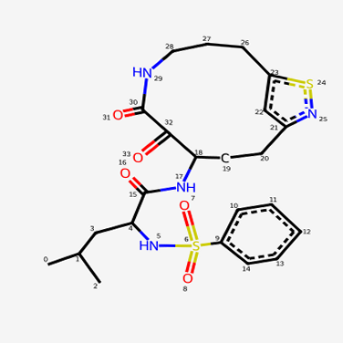 CC(C)CC(NS(=O)(=O)c1ccccc1)C(=O)NC1CCc2cc(sn2)CCCNC(=O)C1=O